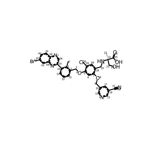 Cc1c(COc2cc(OCc3cncc(C#N)c3)c(CN[C@](C)(CO)C(=O)O)cc2Cl)cccc1-c1cnc2ccc(Br)cc2n1